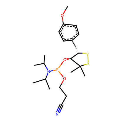 COc1ccc([C@@H]2SSC(C)(C)[C@H]2OP(OCCC#N)N(C(C)C)C(C)C)cc1